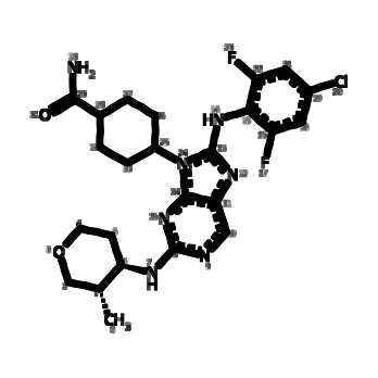 C[C@@H]1COCC[C@H]1Nc1ncc2nc(Nc3c(F)cc(Cl)cc3F)n(C3CCC(C(N)=O)CC3)c2n1